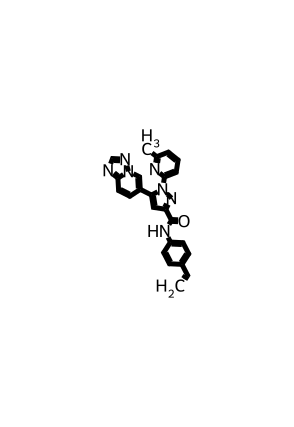 C=Cc1ccc(NC(=O)c2cc(-c3ccc4ncnn4c3)n(-c3cccc(C)n3)n2)cc1